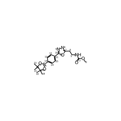 COC(=O)NCCc1nnc(-c2ccc(B3OC(C)(C)C(C)(C)O3)cc2)o1